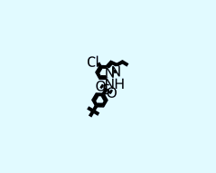 CCc1cc2c(Cl)ccc(NS(=O)(=O)c3ccc(C(C)(C)C)cc3)n2n1